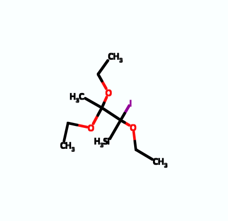 CCOC([SiH3])(I)C(C)(OCC)OCC